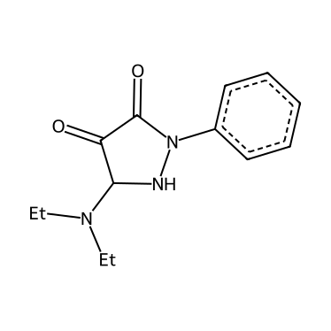 CCN(CC)C1NN(c2ccccc2)C(=O)C1=O